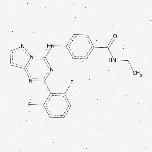 CCNC(=O)c1ccc(Nc2nc(-c3c(F)cccc3F)nc3ccnn23)cc1